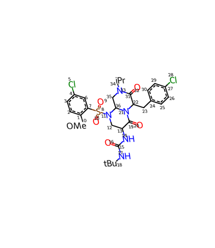 COc1ccc(Cl)cc1S(=O)(=O)N1CC(NC(=O)NC(C)(C)C)C(=O)N2C(Cc3ccc(Cl)cc3)C(=O)N(C(C)C)CC21